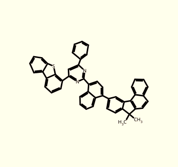 CC1(C)c2ccc(-c3ccc(-c4nc(-c5ccccc5)cc(-c5cccc6c5sc5ccccc56)n4)c4ccccc34)cc2-c2c1ccc1ccccc21